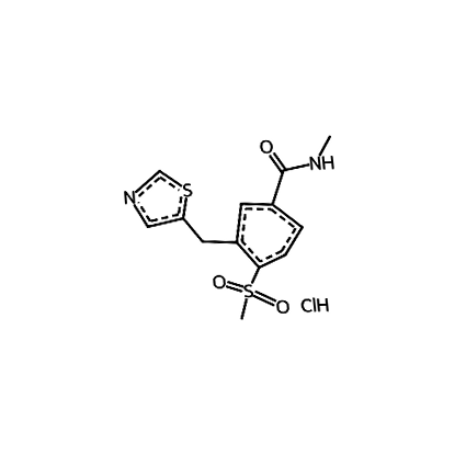 CNC(=O)c1ccc(S(C)(=O)=O)c(Cc2cncs2)c1.Cl